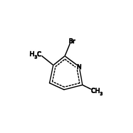 Cc1ccc(C)c(Br)n1